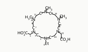 CCN1CCN(CC(=O)O)CCN(C)CCN(C)CCN(C)CCN(CC(=O)O)CC1